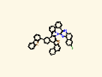 Fc1ccc2c(ccc3nc(-c4ccccc4)c(-n4c5ccccc5c5c6cc(-c7cccc8c7sc7ccccc78)ccc6c6c(sc7ccc8ccccc8c76)c54)nc32)c1